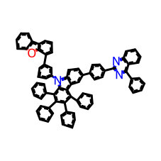 c1ccc(-c2c(-c3ccccc3)c(-c3ccccc3)c3c(c2-c2ccccc2)c2cc(-c4ccc(-c5nc(-c6ccccc6)c6ccccc6n5)cc4)ccc2n3-c2cccc(-c3cccc4c3oc3ccccc34)c2)cc1